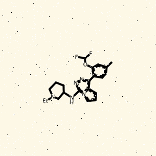 CCN1CCCC(Nc2nnc(-c3ccc(C)cc3OC(F)F)c3cccn23)C1